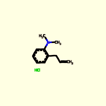 C=CCc1ccccc1N(C)C.Cl